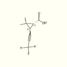 CC1(C)[C@H](C#CC(F)(F)F)[C@H]1C(=O)O